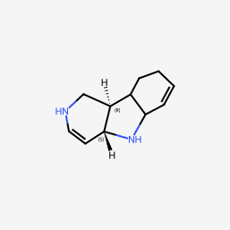 C1=CC2N[C@@H]3C=CNC[C@H]3C2CC1